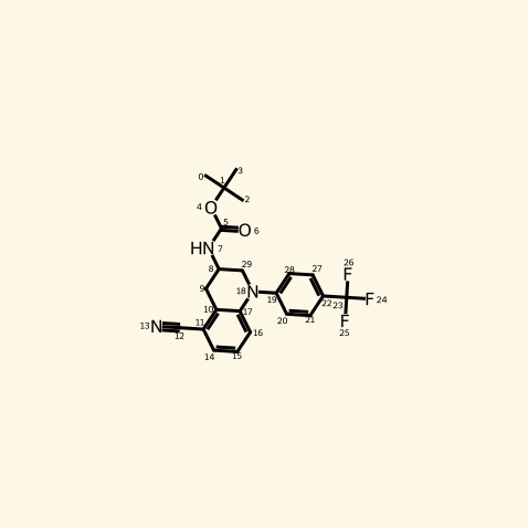 CC(C)(C)OC(=O)NC1Cc2c(C#N)cccc2N(c2ccc(C(F)(F)F)cc2)C1